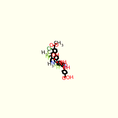 COC(=O)c1ccc(-c2ccc(C(C)C(O)(c3ccnc(-c4ccc(C(=O)O)cc4)c3)C(F)(F)F)cc2)c(C(C)C(O)(c2ccnc(-c3ccc(C(=O)O)cc3)c2)C(F)(F)F)c1Cl